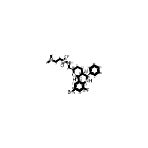 CN(C)CCS(=O)(=O)NC[C@H]1CC[C@@H]2[C@H](O1)c1cc(Br)cc(F)c1N[C@H]2c1ccccc1